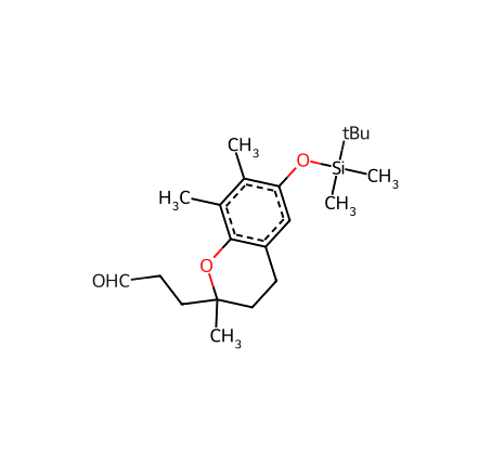 Cc1c(O[Si](C)(C)C(C)(C)C)cc2c(c1C)OC(C)(CCC=O)CC2